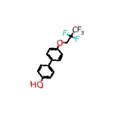 Oc1ccc(-c2ccc(OCC(F)(F)C(F)(F)F)cc2)cc1